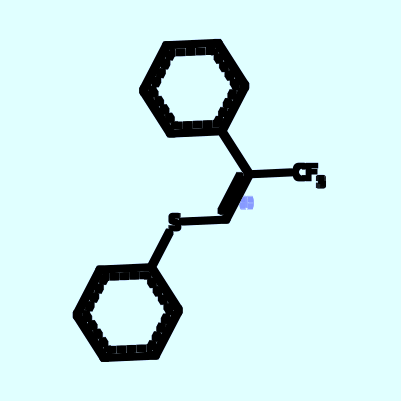 FC(F)(F)/C(=C/Sc1ccccc1)c1ccccc1